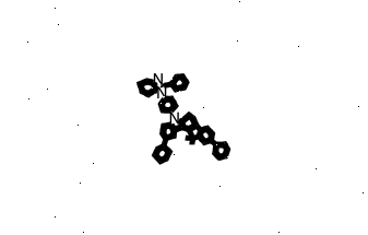 CC1(C)c2cc(-c3ccccc3)ccc2-c2ccc3c(c21)c1cc(-c2ccccc2)ccc1n3-c1ccc(-n2c(-c3ccccc3)nc3ccccc32)cc1